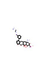 CN(C)CCNC(=O)c1cccc(-c2ccc(O)c3c2C[C@H]2C[C@H]4[C@@H](N(C)C)C(O)=C(C(N)=O)C(=O)[C@@]4(O)C(O)=C2C3=O)c1